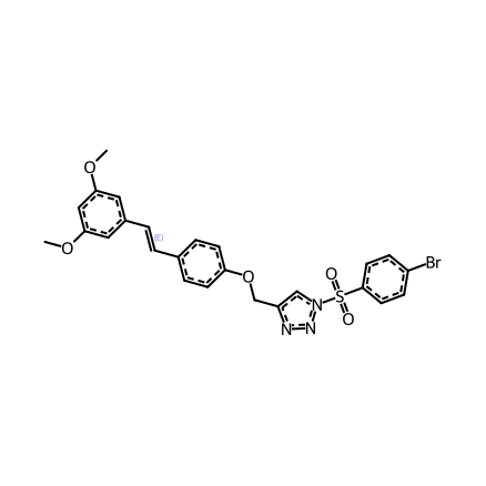 COc1cc(/C=C/c2ccc(OCc3cn(S(=O)(=O)c4ccc(Br)cc4)nn3)cc2)cc(OC)c1